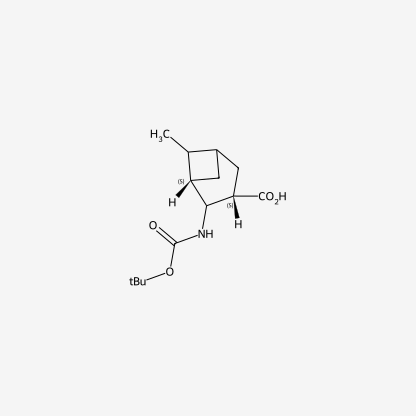 CC1C2C[C@@H]1C(NC(=O)OC(C)(C)C)[C@@H](C(=O)O)C2